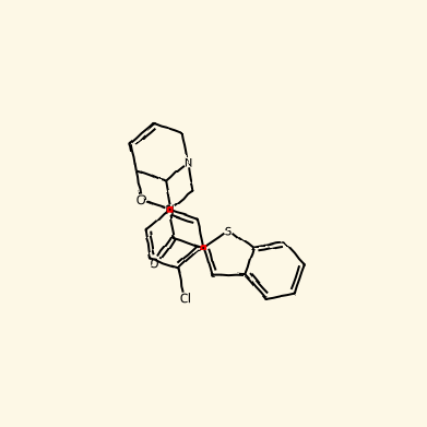 O=C(c1cc2ccccc2s1)N1CN2CC=CC(O1)C2c1ccc(Cl)cc1